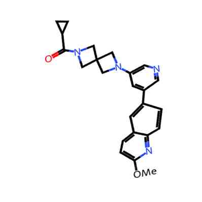 COc1ccc2cc(-c3cncc(N4CC5(CN(C(=O)C6CC6)C5)C4)c3)ccc2n1